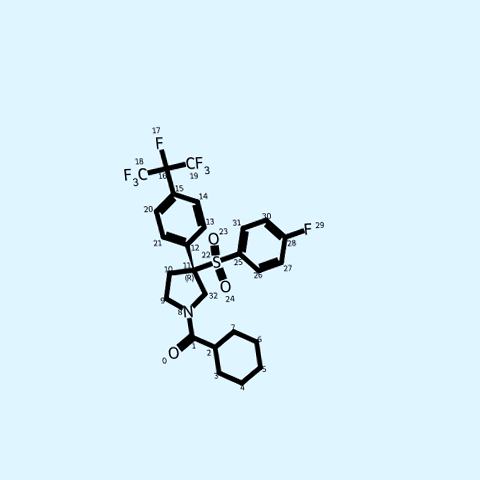 O=C(C1CCCCC1)N1CC[C@](c2ccc(C(F)(C(F)(F)F)C(F)(F)F)cc2)(S(=O)(=O)c2ccc(F)cc2)C1